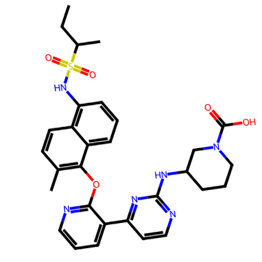 CCC(C)S(=O)(=O)Nc1cccc2c(Oc3ncccc3-c3ccnc(NC4CCCN(C(=O)O)C4)n3)c(C)ccc12